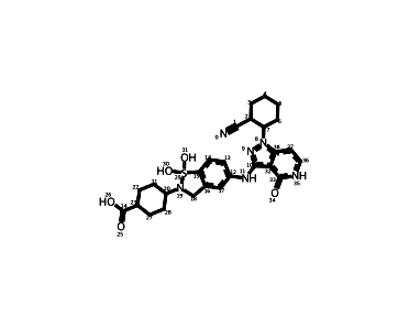 N#CC1CCCCC1n1nc(Nc2ccc3c(c2)CN(C2CCC(C(=O)O)CC2)S3(O)O)c2c(=O)[nH]ccc21